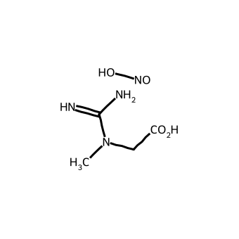 CN(CC(=O)O)C(=N)N.O=NO